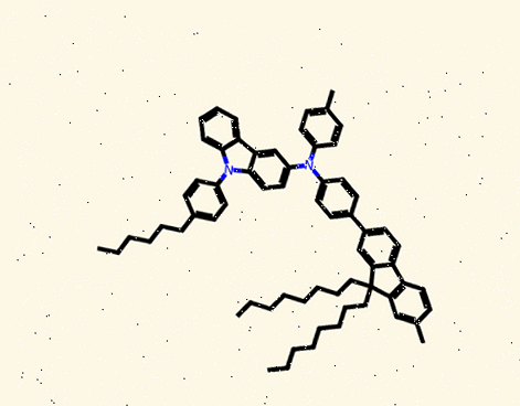 CCCCCCCCC1(CCCCCCCC)c2cc(C)ccc2-c2ccc(-c3ccc(N(c4ccc(C)cc4)c4ccc5c(c4)c4ccccc4n5-c4ccc(CCCCCC)cc4)cc3)cc21